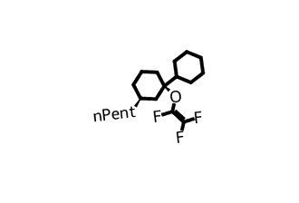 CCCCC[C@H]1CCC[C@](OC(F)=C(F)F)(C2CCCCC2)C1